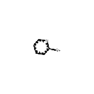 [Se]c1ccccn1